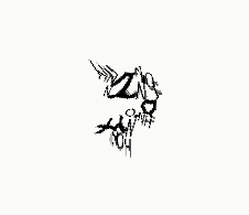 CNc1cc2c(cn1)CN(c1cc(NC(=O)Nc3onc(C(C)(C)C)c3C)c(F)cc1F)C(=O)N2C